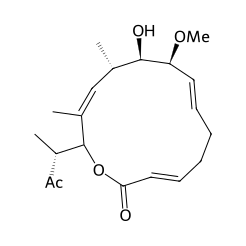 CO[C@H]1/C=C/CC/C=C/C(=O)OC([C@@H](C)C(C)=O)/C(C)=C\[C@H](C)[C@H]1O